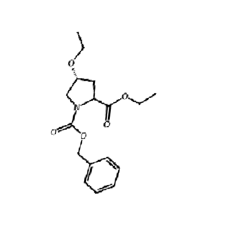 CCOC(=O)C1C[C@@H](OCC)CN1C(=O)OCc1ccccc1